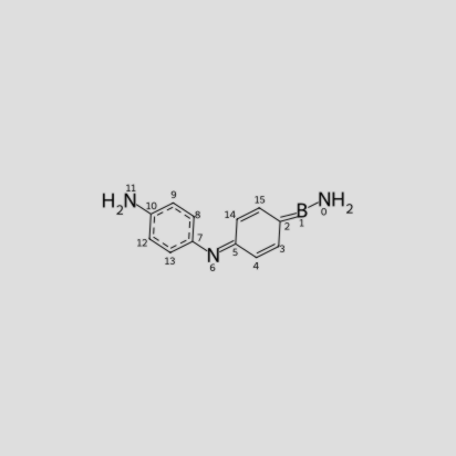 NB=C1C=CC(=Nc2ccc(N)cc2)C=C1